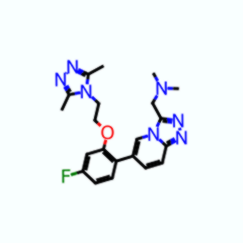 Cc1nnc(C)n1CCOc1cc(F)ccc1-c1ccc2nnc(CN(C)C)n2c1